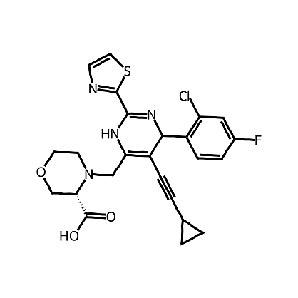 O=C(O)[C@@H]1COCCN1CC1=C(C#CC2CC2)C(c2ccc(F)cc2Cl)N=C(c2nccs2)N1